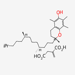 C=C(CC(=O)O)C(=O)O.Cc1c(C)c2c(c(C)c1O)CC[C@@](C)(CCC[C@H](C)CCC[C@H](C)CCCC(C)C)O2